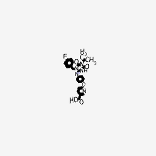 CC(C)n1c(=O)[nH]/c(=N\c2ccc(Oc3ccc(C(=O)O)cn3)cc2)n(Cc2ccc(F)cc2)c1=O